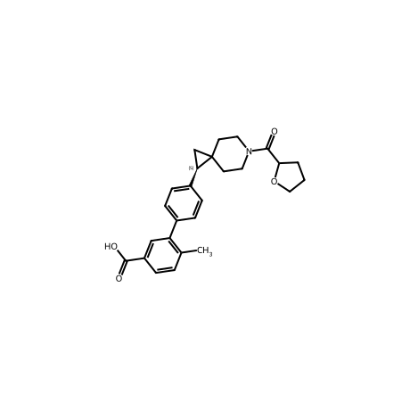 Cc1ccc(C(=O)O)cc1-c1ccc([C@H]2CC23CCN(C(=O)C2CCCO2)CC3)cc1